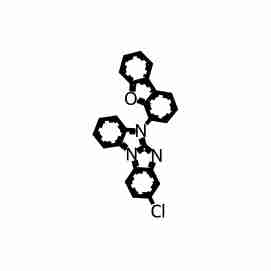 Clc1ccc2c(c1)nc1n(-c3cccc4c3oc3ccccc34)c3ccccc3n21